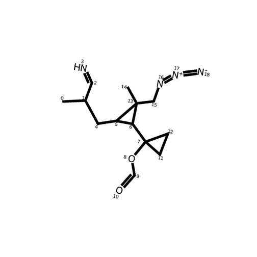 CC(C=N)CC1C(C2(OC=O)CC2)C1(C)CN=[N+]=[N-]